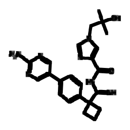 CC(C)(O)Cn1cnc(C(=O)NC(=N)C2(c3ccc(-c4cnc(N)nc4)cc3)CCC2)c1